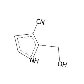 N#Cc1cc[nH]c1CO